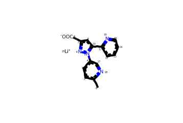 Cc1ccc(-n2nc(C(=O)[O-])cc2-c2ccccn2)cn1.[Li+]